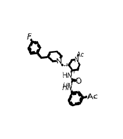 CC(=O)c1cccc(NC(=O)N[C@@H]2CCN(C(C)=O)C[C@H]2CN2CCCC(Cc3ccc(F)cc3)C2)c1